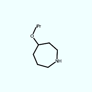 CC(C)OC1CCCNCC1